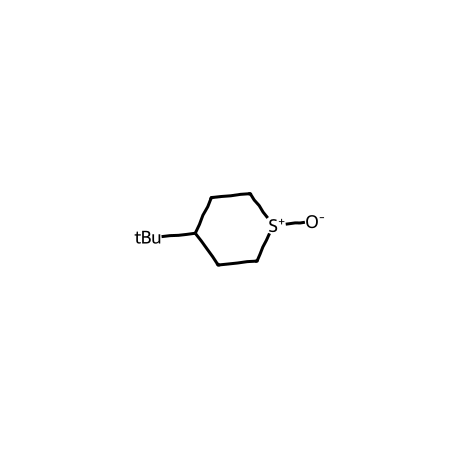 CC(C)(C)C1CC[S+]([O-])CC1